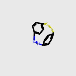 c1cc2ccc1nnc1ccc(cc1)ss2